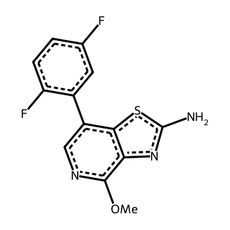 COc1ncc(-c2cc(F)ccc2F)c2sc(N)nc12